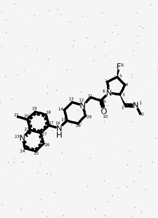 CN=C[C@@H]1C[C@H](F)CN1C(=O)CN1CCC(Nc2ccc(C)c3ncccc23)CC1